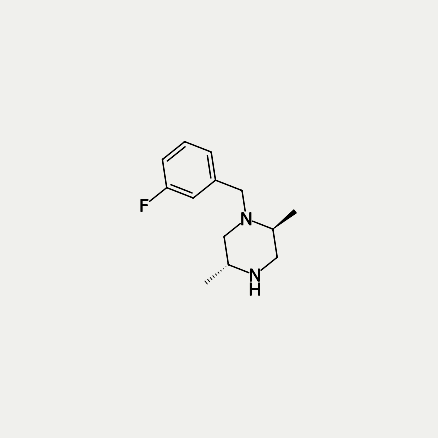 C[C@@H]1CN(Cc2cccc(F)c2)[C@@H](C)CN1